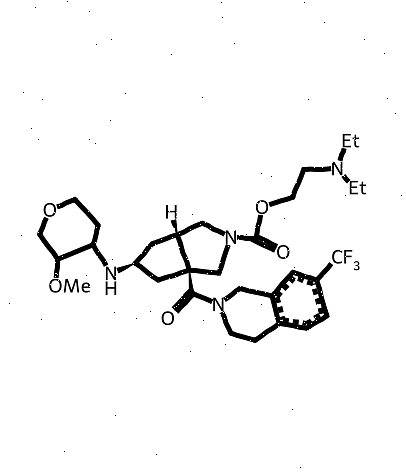 CCN(CC)CCOC(=O)N1C[C@H]2C[C@H](NC3CCOCC3OC)C[C@@]2(C(=O)N2CCc3ccc(C(F)(F)F)cc3C2)C1